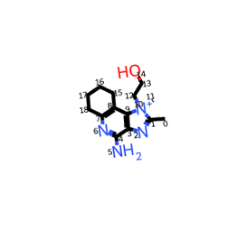 CC1=Nc2c(N)nc3c(c2[N+]1(C)CCO)CCCC3